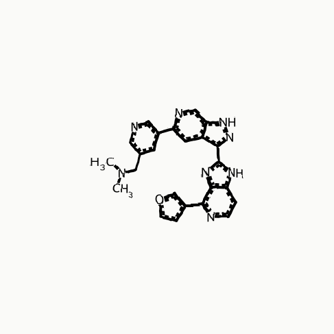 CN(C)Cc1cncc(-c2cc3c(-c4nc5c(-c6ccoc6)nccc5[nH]4)n[nH]c3cn2)c1